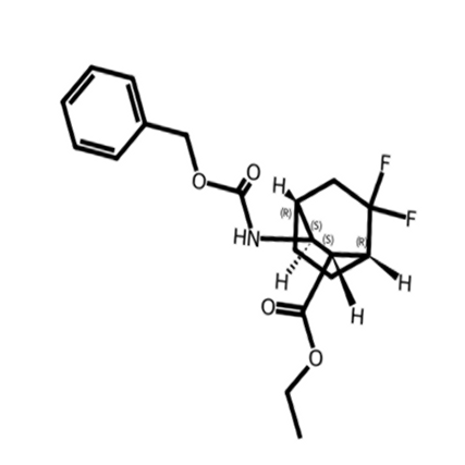 CCOC(=O)[C@@H]1[C@@H](NC(=O)OCc2ccccc2)[C@@H]2CC[C@H]1C(F)(F)C2